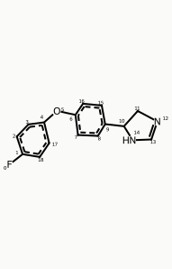 Fc1ccc(Oc2ccc(C3CN=CN3)cc2)cc1